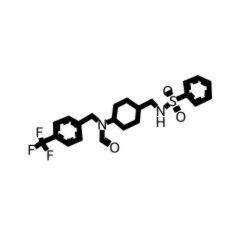 O=CN(Cc1ccc(C(F)(F)F)cc1)C1CCC(CNS(=O)(=O)c2ccccc2)CC1